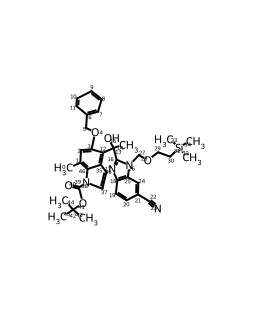 Cc1cc(OCc2ccccc2)c(C(C)(O)c2nc3ccc(C#N)cc3n2COCC[Si](C)(C)C)c2ccn(C(=O)OC(C)(C)C)c12